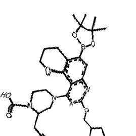 CN1CCCC1COc1nc(N2CCN(C(=O)O)C(CC#N)C2)c2c3c(c(B4OC(C)(C)C(C)(C)O4)cc2n1)CCCO3